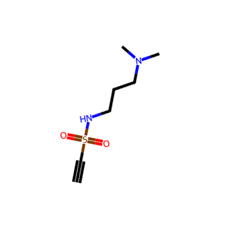 C#CS(=O)(=O)NCCCN(C)C